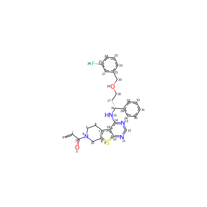 C=CC(=O)N1CCc2c(sc3ncnc(N[C@H](CCOCc4cccc(F)c4)c4ccccc4)c23)C1